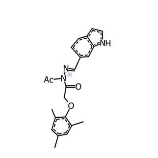 CC(=O)N(/N=C/c1ccc2cc[nH]c2c1)C(=O)COc1c(C)cc(C)cc1C